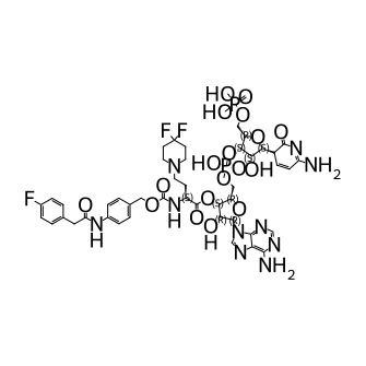 NC1=NC(=O)C([C@@H]2O[C@H](COP(=O)(O)O)[C@@H](OP(=O)(O)OC[C@H]3O[C@@H](n4cnc5c(N)ncnc54)[C@H](O)[C@@H]3OC(=O)[C@H](CCN3CCC(F)(F)CC3)NC(=O)OCc3ccc(NC(=O)Cc4ccc(F)cc4)cc3)[C@H]2O)C=C1